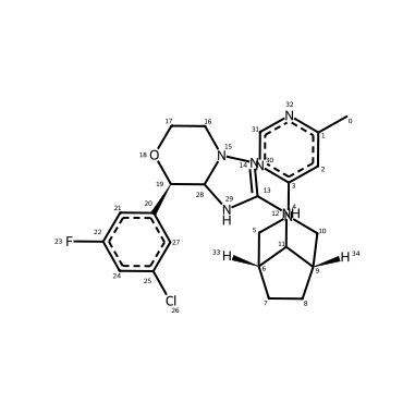 Cc1cc(N2C[C@H]3CC[C@@H](C2)C3NC2=NN3CCO[C@H](c4cc(F)cc(Cl)c4)C3N2)ncn1